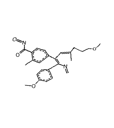 C=N/C(=C(\C=C(/C)CCCOC)c1ccc(C(=O)N=O)c(C)c1)c1ccc(OC)cc1